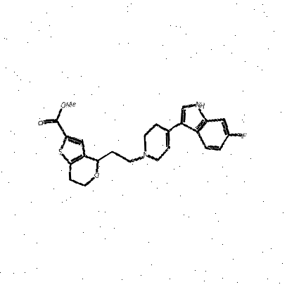 COC(=O)c1cc2c(s1)CCOC2CCN1CC=C(c2c[nH]c3cc(F)ccc23)CC1